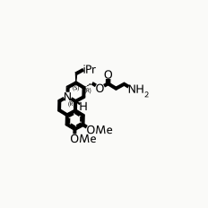 COc1cc2c(cc1OC)[C@H]1C[C@@H](COC(=O)CCN)[C@H](CC(C)C)CN1CC2